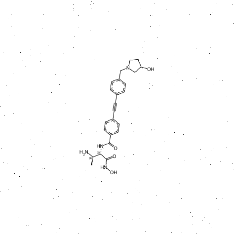 C[C@@H](N)[C@H](NC(=O)c1ccc(C#Cc2ccc(CN3CCC(O)C3)cc2)cc1)C(=O)NO